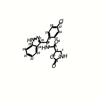 O=C1NCC(C(=O)N[C@@H](c2ccc(Cl)cc2)c2n[nH]c3ccccc23)O1